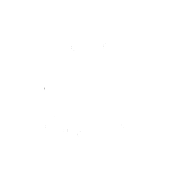 O=C1CCCCCCCC/C=C\CCCCCCO1